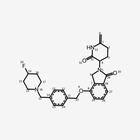 C=C1CCC(N2Cc3c(OCc4ccc(CN5CCC(F)CC5)cc4)cccc3C2=O)C(=O)N1